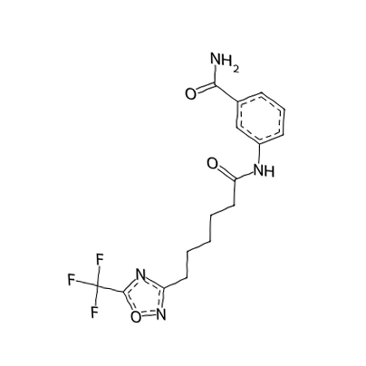 NC(=O)c1cccc(NC(=O)CCCCCc2noc(C(F)(F)F)n2)c1